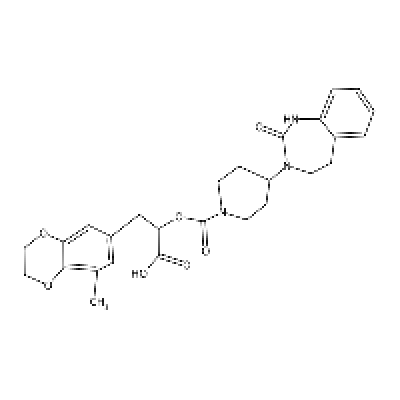 Cc1cc(CC(OC(=O)N2CCC(N3CCc4ccccc4NC3=O)CC2)C(=O)O)cc2c1OCCO2